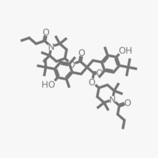 CCCC(=O)N1C(C)(C)CC(OC(=O)C(Cc2c(C)cc(C(C)(C)C)c(O)c2C)(Cc2c(C)cc(C(C)(C)C)c(O)c2C)C(=O)OC2CC(C)(C)N(C(=O)CCC)C(C)(C)C2)CC1(C)C